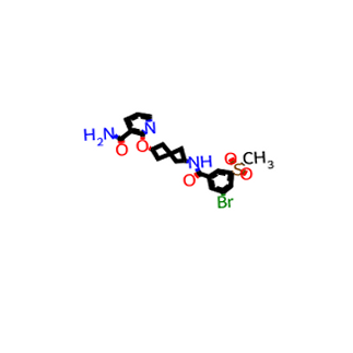 CS(=O)(=O)c1cc(Br)cc(C(=O)NC2CC3(C2)CC(Oc2ncccc2C(N)=O)C3)c1